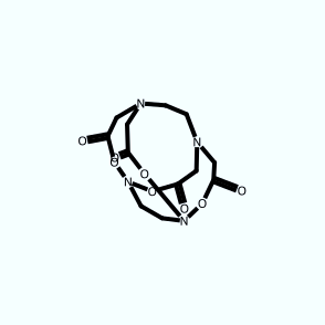 O=C1CN2CCN3CC(=O)ON(CCN(OC(=O)C2)OC(=O)C3)O1